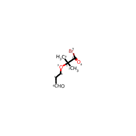 CC(C)(OCCC=O)C(=O)Br